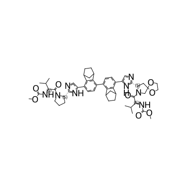 COC(=O)N[C@H](C(=O)N1CCC[C@H]1c1ncc(-c2ccc(-c3ccc(-c4cnc([C@@H]5CC6(CN5C(=O)[C@@H](NC(=O)OC)C(C)C)OCCO6)[nH]4)c4c3C3CCC4C3)c3c2C2CCC3C2)[nH]1)C(C)C